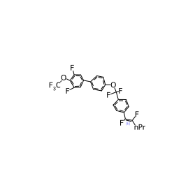 CCC/C(F)=C(\F)c1ccc(C(F)(F)Oc2ccc(-c3cc(F)c(OC(F)(F)F)c(F)c3)cc2)cc1